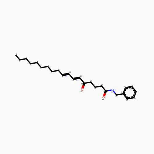 CCCCCCCCC/C=C/C=C/C(=O)CCCC(=O)NCc1ccccc1